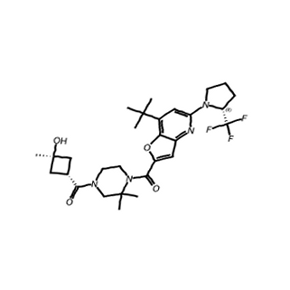 CC(C)(C)c1cc(N2CCC[C@@H]2C(F)(F)F)nc2cc(C(=O)N3CCN(C(=O)[C@H]4C[C@](C)(O)C4)CC3(C)C)oc12